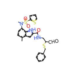 Cc1ccc(N(C)S(=O)(=O)c2cccs2)c2[nH]c(C(=O)NCC(C=O)SCc3ccccc3)cc12